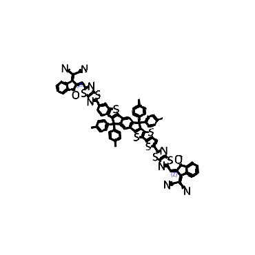 Cc1ccc(C2(c3ccc(C)cc3)c3cc4c(cc3-c3sc5cc(-c6nc7sc(/C=C8\C(=O)c9ccccc9C8=C(C#N)C#N)nc7s6)ccc5c32)C(c2ccc(C)cc2)(c2ccc(C)cc2)c2c-4sc3c2sc2cc(-c4nc5sc(/C=C6\C(=O)c7ccccc7C6=C(C#N)C#N)nc5s4)sc23)cc1